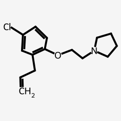 C=CCc1cc(Cl)ccc1OCCN1CCCC1